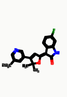 CCOC(=O)c1cncc(C2=CC(=C3C(=O)Nc4cc(F)ccc43)OC2(C)C)c1